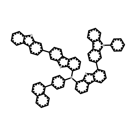 c1ccc(-n2c3ccccc3c3ccc(-c4cccc5c4sc4c(N(c6ccc(-c7cccc8ccccc78)cc6)c6cccc7c6sc6cc(-c8ccc9c(c8)oc8ccccc89)ccc67)cccc45)cc32)cc1